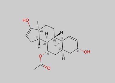 CC(=O)O[C@H]1C[C@@H]2C[C@@H](O)C=C[C@]2(C)[C@H]2CC[C@]3(C)C(O)=CC[C@H]3[C@H]12